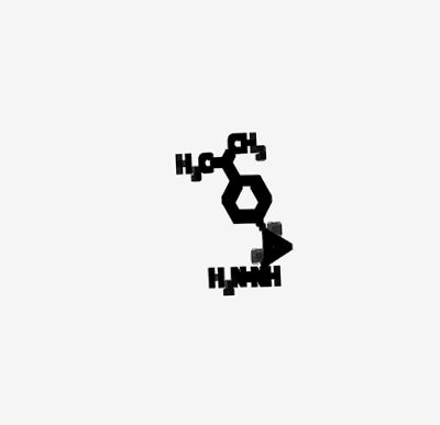 CC(C)c1ccc([C@@H]2C[C@@H]2NN)cc1